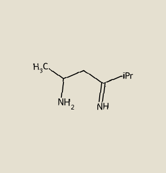 CC(N)CC(=N)C(C)C